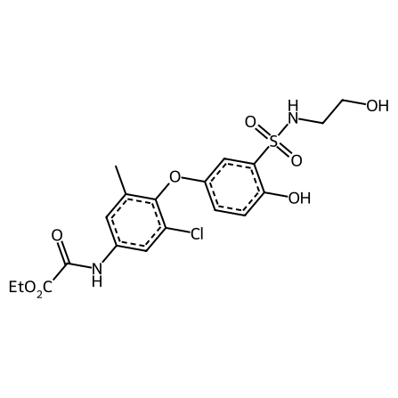 CCOC(=O)C(=O)Nc1cc(C)c(Oc2ccc(O)c(S(=O)(=O)NCCO)c2)c(Cl)c1